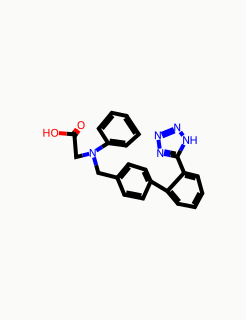 O=C(O)CN(Cc1ccc(-c2ccccc2-c2nnn[nH]2)cc1)c1ccccc1